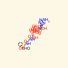 CC(C)(COP(=O)(O)OP(=O)(O)OC[C@H]1O[C@@H](n2cnc3c(N)ncnc32)[C@H](O)[C@@H]1OP(=O)(O)O)C(O)C(=O)NCCC(=O)NCC[SH](C=O)C1=C(O)CC=CC=C1